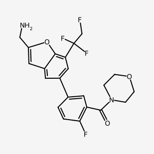 NCc1cc2cc(-c3ccc(F)c(C(=O)N4CCOCC4)c3)cc(C(F)(F)CF)c2o1